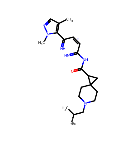 Cc1cnn(C)c1C(=N)/C=C\C(=N)NC(=O)C1CC12CCN(CC(C)C(C)(C)C)CC2